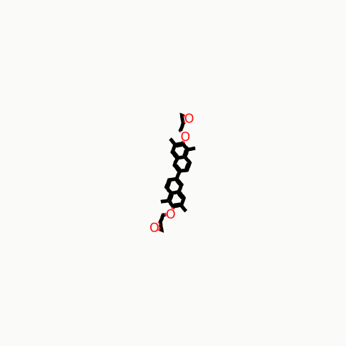 Cc1cc2cc(-c3ccc4c(C)c(OCC5CO5)c(C)cc4c3)ccc2c(C)c1OCC1CO1